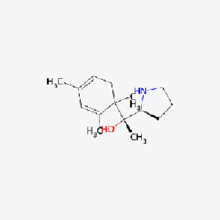 CC1=CCC(C)([C@@](C)(O)[C@@H]2CCCN2)C(C)=C1